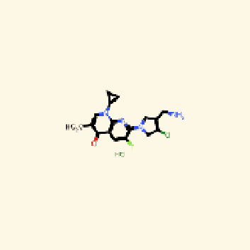 Cl.NCC1CN(c2nc3c(cc2F)c(=O)c(C(=O)O)cn3C2CC2)CC1Cl